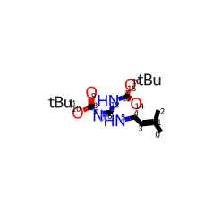 CC(C)=CCN/C(=N/C(=O)OC(C)(C)C)NC(=O)OC(C)(C)C